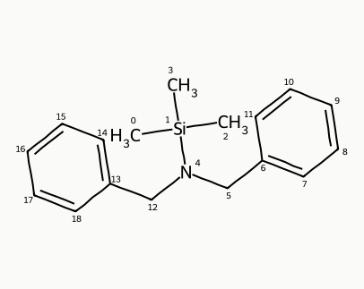 C[Si](C)(C)N(Cc1ccccc1)Cc1ccccc1